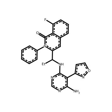 CCC(Nc1ncnc(N)c1-c1ccon1)c1cc2cccc(F)c2c(=O)n1-c1ccccc1